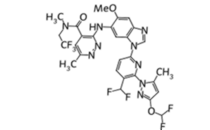 COc1cc2ncn(-c3ccc(C(F)F)c(-n4nc(OC(F)F)cc4C)n3)c2cc1Nc1nnc(C)cc1C(=O)N(C)CC(F)(F)F